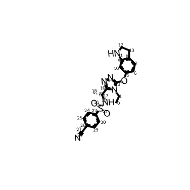 CCn1c(Oc2ccc3c(c2)NCC3)nnc1[C@@H](C)NS(=O)(=O)c1ccc(C#N)cc1